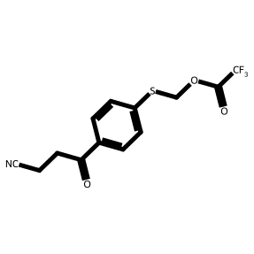 N#CCCC(=O)c1ccc(SCOC(=O)C(F)(F)F)cc1